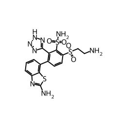 NCCS(=O)(=O)c1ccc(-c2cccc3nc(N)sc23)c(-c2nn[nH]n2)c1S(N)(=O)=O